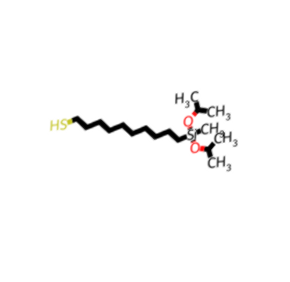 CC(C)O[Si](C)(CCCCCCCCCCS)OC(C)C